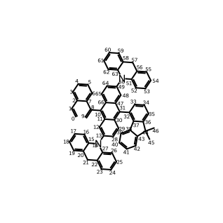 C=Cc1ccccc1C(=C)c1c2cc(N3c4ccccc4Cc4ccccc43)ccc2c(-c2cccc3c2-c2ccccc2C3(C)C)c2cc(N3c4ccccc4Cc4ccccc43)ccc12